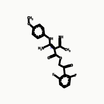 COc1ccc(N/C(N)=C(\C(C)=N)C(=O)OCC(=O)c2c(F)cccc2F)cc1